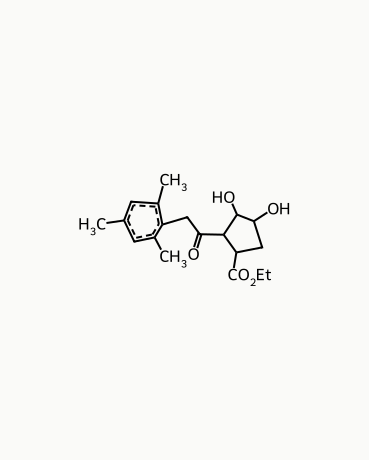 CCOC(=O)C1CC(O)C(O)C1C(=O)Cc1c(C)cc(C)cc1C